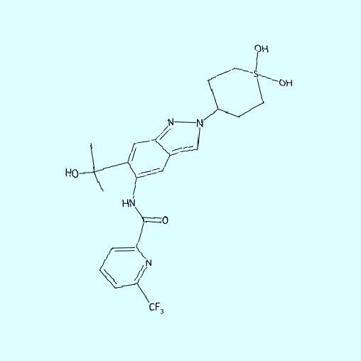 CC(C)(O)c1cc2nn(C3CCS(O)(O)CC3)cc2cc1NC(=O)c1cccc(C(F)(F)F)n1